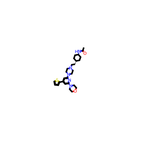 CC(=O)N[C@H]1CC[C@H](CCN2CCN(c3cc(-c4cccs4)cc(N4CCOCC4)n3)CC2)CC1